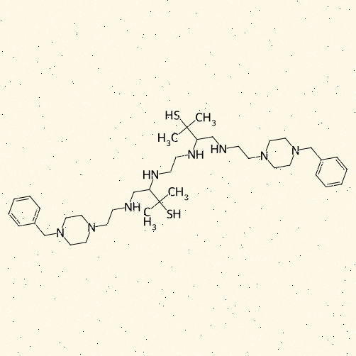 CC(C)(S)C(CNCCN1CCN(Cc2ccccc2)CC1)NCCNC(CNCCN1CCN(Cc2ccccc2)CC1)C(C)(C)S